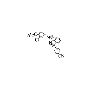 COc1ccc(CCNc2nnc(N3CCC(C#N)CC3)c3ccccc23)cc1Cl